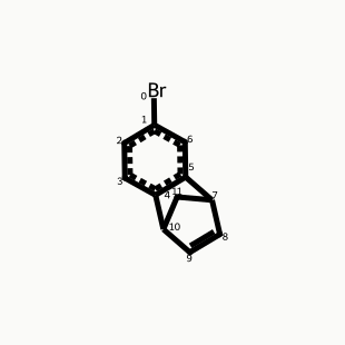 Brc1ccc2c(c1)C1C=CC2C1